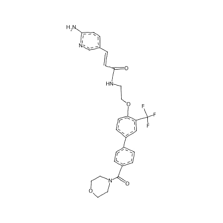 Nc1ccc(/C=C/C(=O)NCCOc2ccc(-c3ccc(C(=O)N4CCOCC4)cc3)cc2C(F)(F)F)cn1